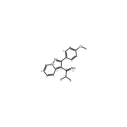 COc1ccc(-c2nn3ccccc3c2C(=N)C(C)C)cc1